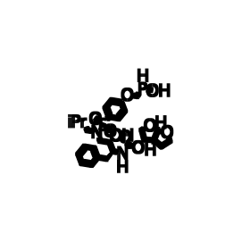 CC(C)CN(C[C@@H](O)[C@H](Cc1ccccc1)NC(=O)O[C@H]1CO[C@H]2OCC[C@H]21)S(=O)(=O)c1ccc(OCPO)cc1